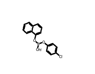 OB(Oc1ccc(Cl)cc1)Oc1cccc2ccccc12